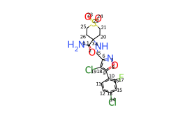 NC(=O)C1(NCc2noc(-c3ccc(Cl)cc3F)c2Cl)CCS(=O)(=O)CC1